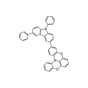 c1ccc(-c2ccc3c(c2)c2cc(-c4ccc5c(c4)Oc4cccc6c4N5c4ccccc4O6)ccc2n3-c2ccccc2)cc1